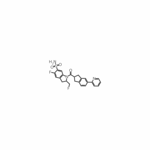 NS(=O)(=O)c1cc2c(cc1F)CC(CF)N2C(=O)C1Cc2ccc(-c3ccccn3)cc2C1